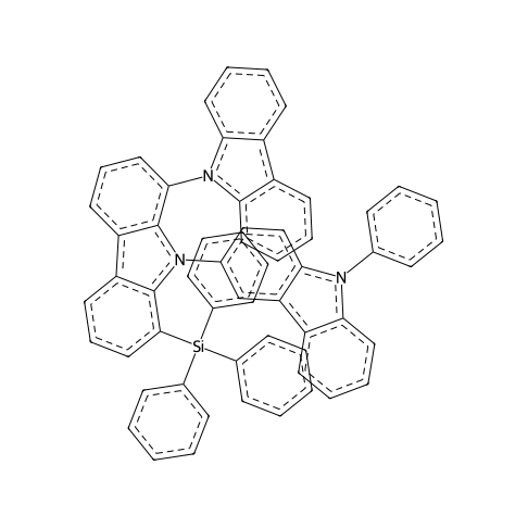 c1ccc(-n2c3ccccc3c3cc(-n4c5c(-n6c7ccccc7c7ccccc76)cccc5c5cccc([Si](c6ccccc6)(c6ccccc6)c6ccccc6)c54)ccc32)cc1